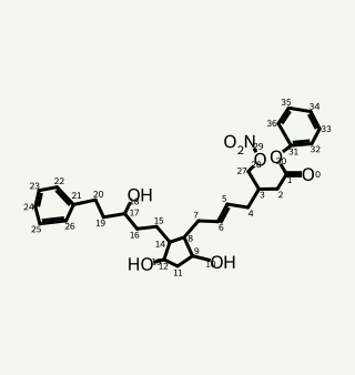 O=C(CC(CC=CCC1C(O)CC(O)C1CCC(O)CCc1ccccc1)CO[N+](=O)[O-])Oc1ccccc1